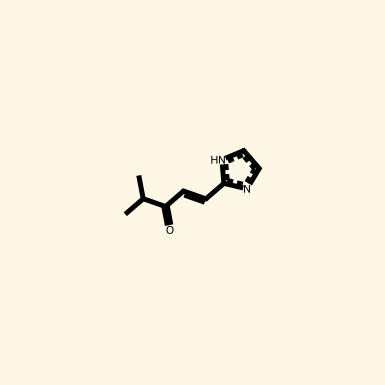 CC(C)C(=O)/C=C/c1ncc[nH]1